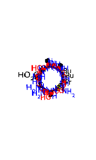 CCCC[C@H]1C(=O)N(C)[C@@H](CCCC)C(=O)N[C@@H](CC(C)C)C(=O)N[C@H](C(=O)NCC(N)=O)CSCC(=O)N[C@@H](Cc2ccc(O)cc2)C(=O)N(C)[C@@H](C)C(=O)N[C@@H](CC(N)=O)C(=O)N(CCN)CC(=O)N[C@@H](Cc2cnc[nH]2)C(=O)N[C@@H](CCC(=O)O)C(=O)N2C[C@H](O)C[C@H]2C(=O)N[C@@H](Cc2c[nH]c3ccccc23)C(=O)N[C@@H](CCN)C(=O)N[C@@H](Cc2c[nH]c3ccccc23)C(=O)N1C